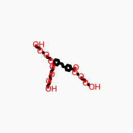 O=C(OCCOCCOCCO)c1ccc(C=Cc2ccc(OCCOCCOCCO)c(OCCOCCOCCO)c2)cc1